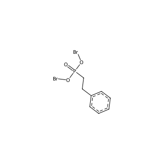 O=P(CCc1ccccc1)(OBr)OBr